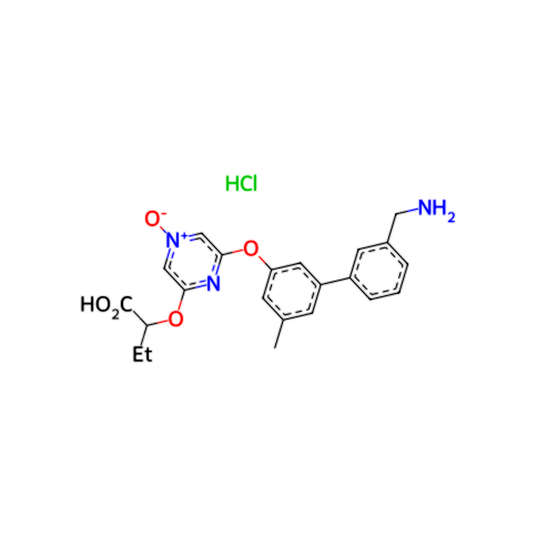 CCC(Oc1c[n+]([O-])cc(Oc2cc(C)cc(-c3cccc(CN)c3)c2)n1)C(=O)O.Cl